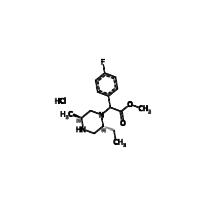 CC[C@@H]1CN[C@@H](C)CN1C(C(=O)OC)c1ccc(F)cc1.Cl